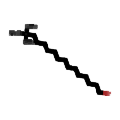 CO[Si](CCCCCCCCCCCCCCBr)(OC)OC